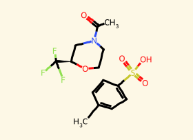 CC(=O)N1CCO[C@@H](C(F)(F)F)C1.Cc1ccc(S(=O)(=O)O)cc1